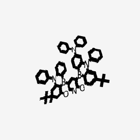 CC(C)(C)c1cc2c3c(c1)N(C1=CCCC=C1)c1cc(N(C4=CC=CCC4)c4ccccc4)ccc1B3c1cc3c(nc1O2)OC1=C2B3c3ccccc3N(c3ccccc3)C2=CC(C)(C(C)(C)C)C1